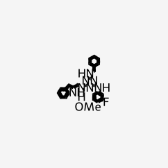 COc1ccc(Nc2nc(NCC3CCCCC3)nc(NCC3Cc4ccccc4N3)n2)cc1F